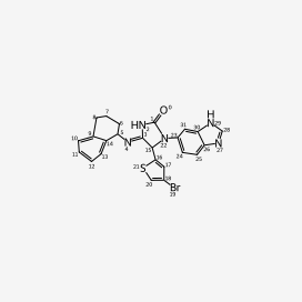 O=C1NC(=NC2CCCc3ccccc32)C(c2cc(Br)cs2)N1c1ccc2nc[nH]c2c1